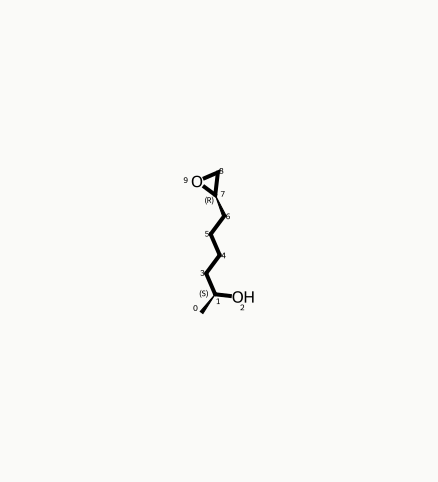 C[C@H](O)CCCC[C@@H]1CO1